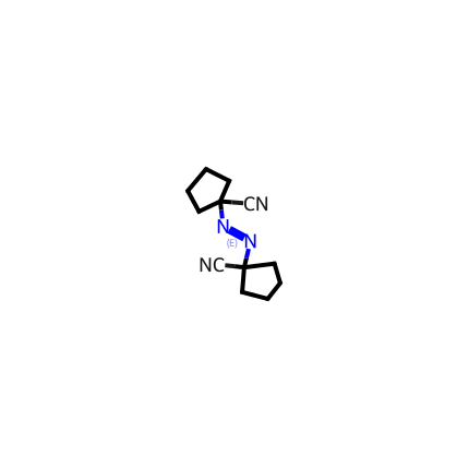 N#CC1(/N=N/C2(C#N)CCCC2)CCCC1